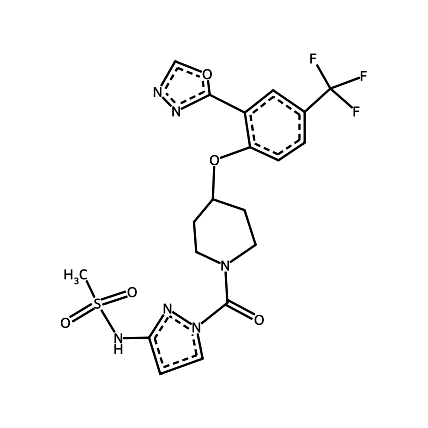 CS(=O)(=O)Nc1ccn(C(=O)N2CCC(Oc3ccc(C(F)(F)F)cc3-c3nnco3)CC2)n1